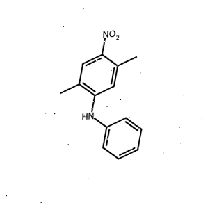 Cc1cc([N+](=O)[O-])c(C)cc1Nc1ccccc1